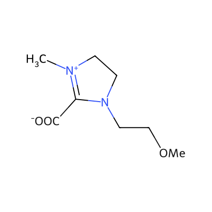 COCCN1CC[N+](C)=C1C(=O)[O-]